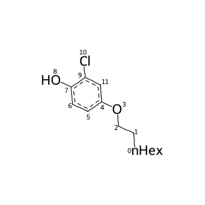 CCCCCCCCOc1ccc(O)c(Cl)c1